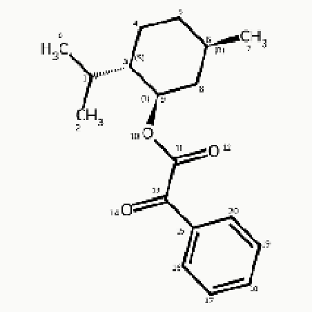 CC(C)[C@@H]1CC[C@@H](C)C[C@H]1OC(=O)C(=O)c1ccccc1